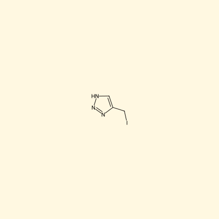 ICc1c[nH]nn1